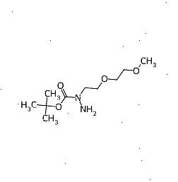 COCCOCCN(N)C(=O)OC(C)(C)C